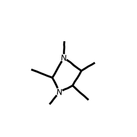 CC1C(C)N(C)C(C)N1C